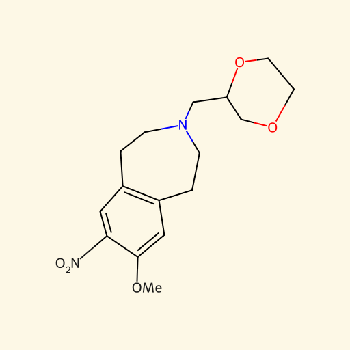 COc1cc2c(cc1[N+](=O)[O-])CCN(CC1COCCO1)CC2